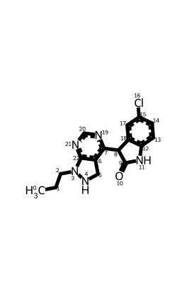 CCCN1NCc2c(C3C(=O)Nc4ccc(Cl)cc43)ncnc21